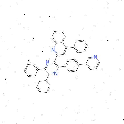 c1ccc(-c2nc(-c3ccc(-c4cccnc4)cc3)c(-c3cc(-c4ccccc4)c4ccccc4n3)nc2-c2ccccc2)cc1